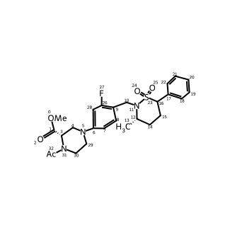 COC(=O)[C@@H]1CN(c2ccc(CN3[C@@H](C)CCC(c4ccccc4)S3(=O)=O)c(F)c2)CCN1C(C)=O